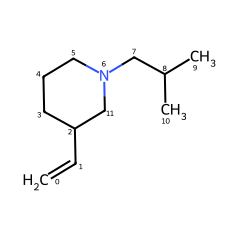 C=CC1CCCN(CC(C)C)C1